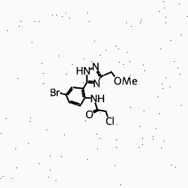 COCc1n[nH]c(-c2cc(Br)ccc2NC(=O)CCl)n1